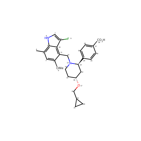 COc1cc(C)c2[nH]cc(F)c2c1CN1CC[C@@H](OCC2CC2)C[C@@H]1c1ccc(C(=O)O)cc1